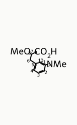 CNc1cccc(CC(OC)C(=O)O)c1